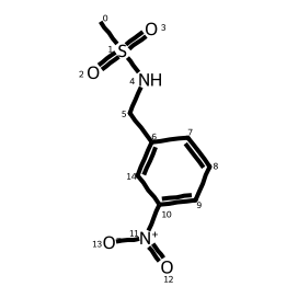 CS(=O)(=O)NCc1cccc([N+](=O)[O-])c1